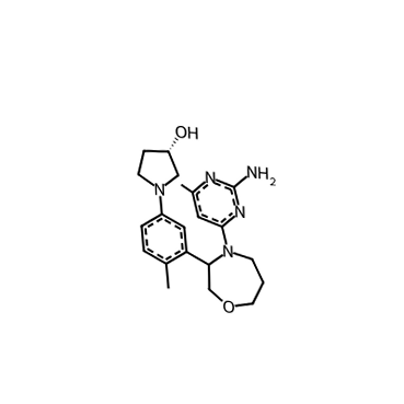 Cc1cc(N2CCCOCC2c2cc(N3CC[C@H](O)C3)ccc2C)nc(N)n1